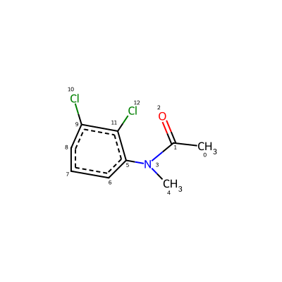 CC(=O)N(C)c1cccc(Cl)c1Cl